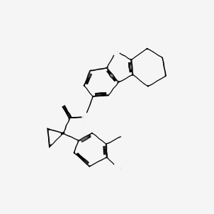 O=C(Nc1ccc2[nH]c3c(c2c1)CCCC3)C1(c2ccc(O)c(O)c2)CC1